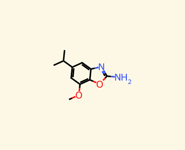 COc1cc(C(C)C)cc2nc(N)oc12